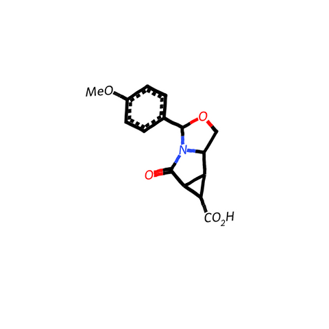 COc1ccc(C2OCC3C4C(C(=O)O)C4C(=O)N23)cc1